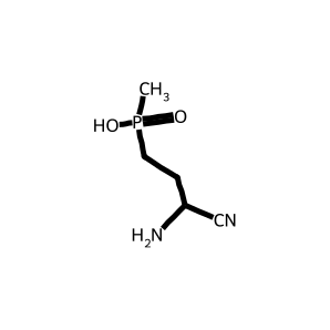 CP(=O)(O)CCC(N)C#N